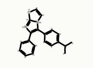 CC(C)c1ccc(-c2c(-c3ccccc3)nc3occn23)cc1